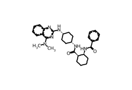 CN(C)c1nc(N[C@H]2CC[C@@H](NC(=O)[C@@H]3CCCC[C@@H]3NC(=O)c3ccccc3)CC2)nc2ccccc12